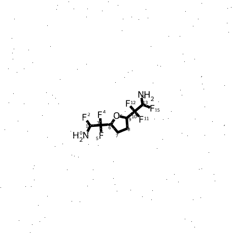 NC(F)C(F)(F)C1CCC(C(F)(F)C(N)F)O1